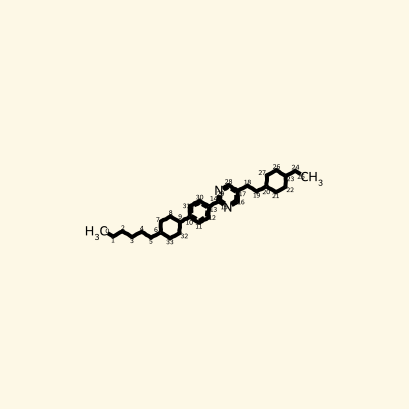 CCCCCCC1CCC(c2ccc(-c3ncc(CCC4CCC(CC)CC4)cn3)cc2)CC1